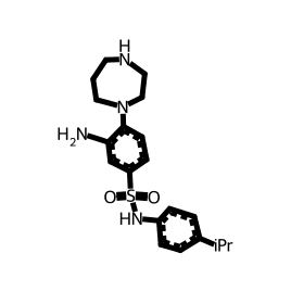 CC(C)c1ccc(NS(=O)(=O)c2ccc(N3CCCNCC3)c(N)c2)cc1